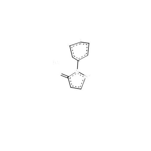 O=c1cc[nH]n1-c1ccccc1.P